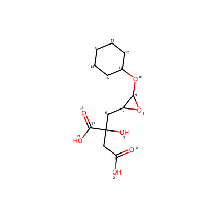 O=C(O)CC(O)(CC1OC1OC1CCCCC1)C(=O)O